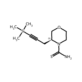 C[Si](C)(C)C#CC[C@H]1COCCN1C(N)=S